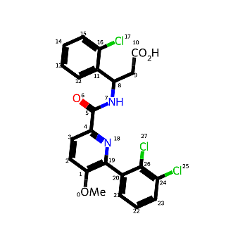 COc1ccc(C(=O)NC(CC(=O)O)c2ccccc2Cl)nc1-c1cccc(Cl)c1Cl